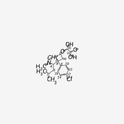 CC(C)CC(N(C)C)C1(c2ccc(Cl)cc2)CCC1.O=C(O)C(=O)O